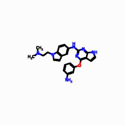 CN(C)CCn1ccc2cc(Nc3nc(Oc4cccc(N)c4)c4cc[nH]c4n3)ccc21